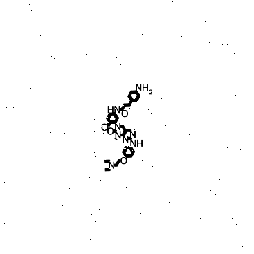 CCN(CC)CCOc1ccc(Nc2ncc3c(n2)N(C)C(=O)N(c2cc(NC(=O)CCc4ccc(N)cc4)ccc2Cl)C3)cc1